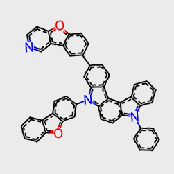 c1ccc(-n2c3ccccc3c3c4c5ccc(-c6ccc7oc8ccncc8c7c6)cc5n(-c5ccc6c(c5)oc5ccccc56)c4ccc32)cc1